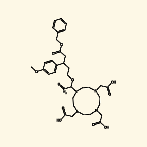 COc1ccc(C(CCOC([PH2]=O)N2CCN(CC(=O)O)CCN(CC(=O)O)CCN(CC(=O)O)CC2)CC(=O)OCc2ccccc2)cc1